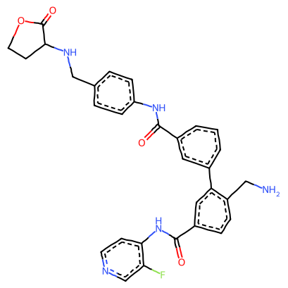 NCc1ccc(C(=O)Nc2ccncc2F)cc1-c1cccc(C(=O)Nc2ccc(CNC3CCOC3=O)cc2)c1